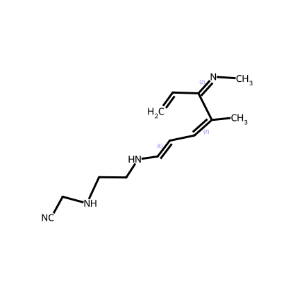 C=CC(=N/C)/C(C)=C\C=C\NCCNCC#N